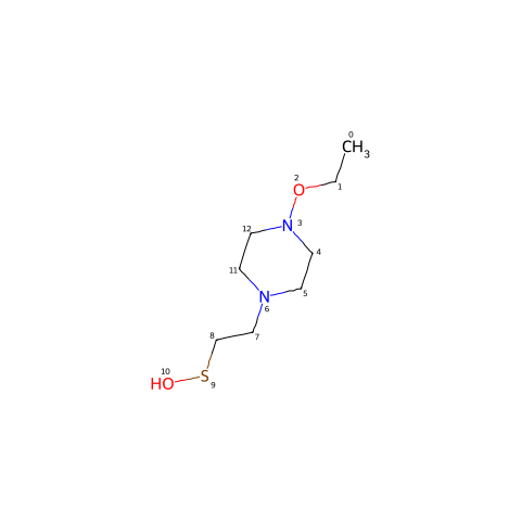 CCON1CCN(CCSO)CC1